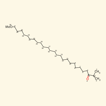 C=C(C)C(=O)CCCCCCCCCCCCCCCCCCCCCCCOC